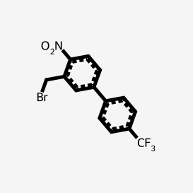 O=[N+]([O-])c1ccc(-c2ccc(C(F)(F)F)cc2)cc1CBr